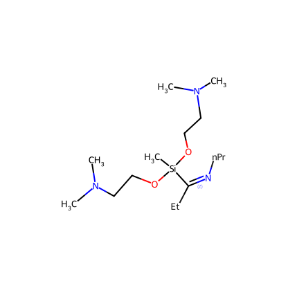 CCC/N=C(/CC)[Si](C)(OCCN(C)C)OCCN(C)C